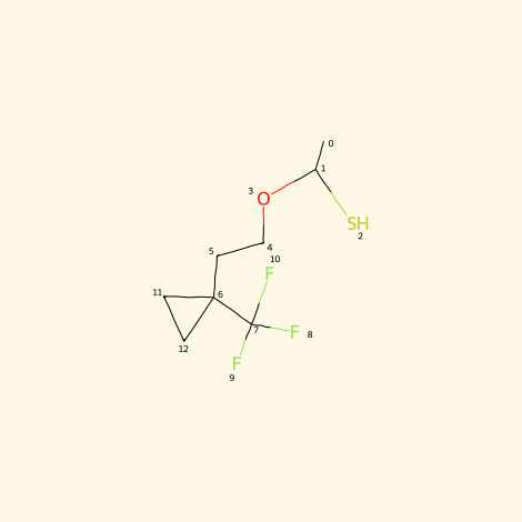 CC(S)OCCC1(C(F)(F)F)CC1